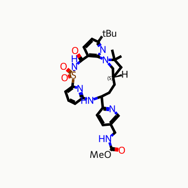 COC(=O)NCc1ccc(C2CC[C@@H]3CN(c4nc(C(C)(C)C)ccc4C(=O)NS(=O)(=O)c4cccc(n4)N2)C(C)(C)C3)nc1